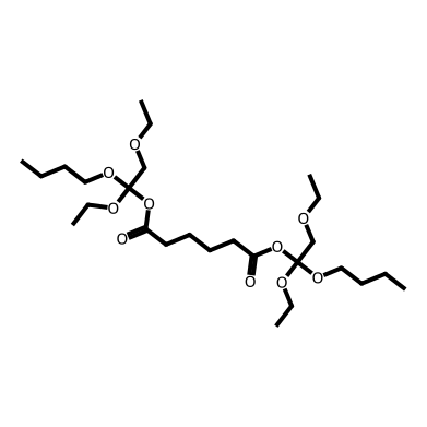 CCCCOC(COCC)(OCC)OC(=O)CCCCC(=O)OC(COCC)(OCC)OCCCC